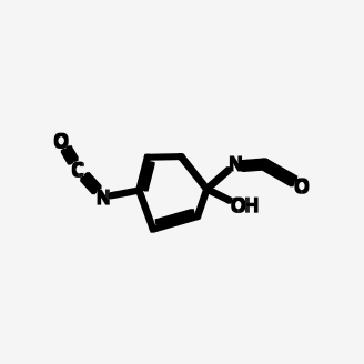 O=C=NC1=CCC(O)(N=C=O)C=C1